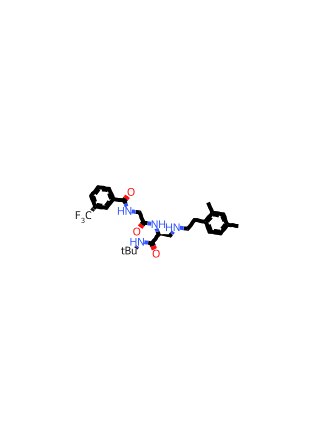 Cc1ccc(CCNC[C@H](NC(=O)CNC(=O)c2cccc(C(F)(F)F)c2)C(=O)NC(C)(C)C)c(C)c1